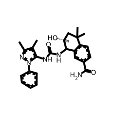 Cc1nn(-c2ccccc2)c(NC(=O)NC2c3cc(C(N)=O)ccc3C(C)(C)C[C@H]2O)c1C